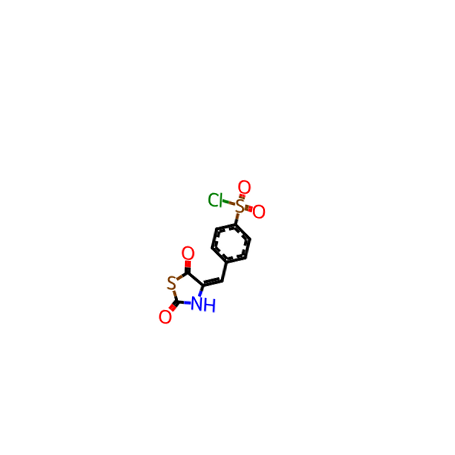 O=C1NC(=Cc2ccc(S(=O)(=O)Cl)cc2)C(=O)S1